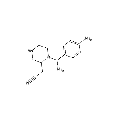 N#CCC1CNCCN1C(N)c1ccc(N)cc1